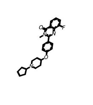 Cn1c(-c2ccc(OC3CCN(C4CCCC4)CC3)cc2)nc2c(F)cccc2c1=O